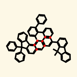 CC1(C)c2ccccc2-c2cccc(-c3ccc(N(c4cccc(-c5ccccc5)c4-c4ccccc4-c4ccccc4)c4cccc5c4-c4ccccc4C5(c4ccccc4)c4ccccc4)cc3)c21